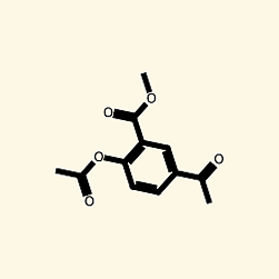 COC(=O)c1cc(C(C)=O)ccc1OC(C)=O